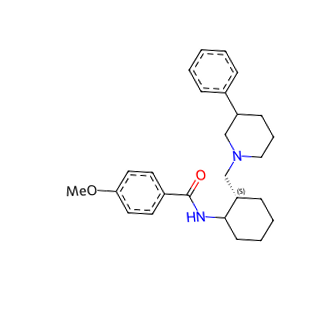 COc1ccc(C(=O)NC2CCCC[C@H]2CN2CCCC(c3ccccc3)C2)cc1